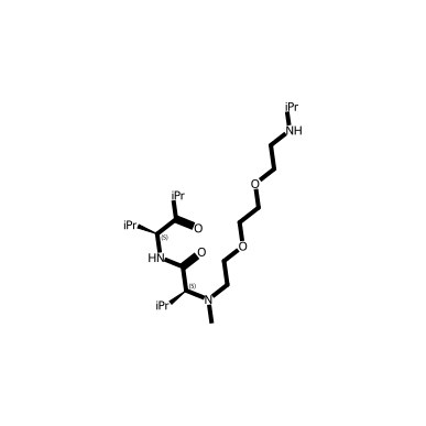 CC(C)NCCOCCOCCN(C)[C@H](C(=O)N[C@H](C(=O)C(C)C)C(C)C)C(C)C